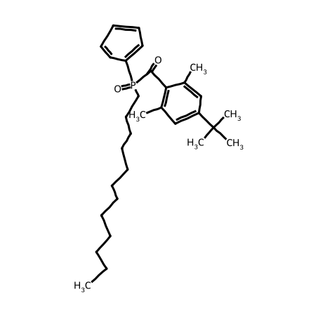 CCCCCCCCCCCCP(=O)(C(=O)c1c(C)cc(C(C)(C)C)cc1C)c1ccccc1